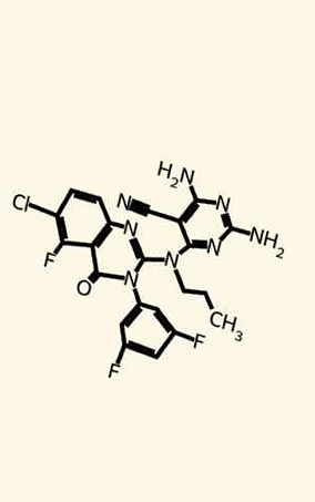 CCCN(c1nc(N)nc(N)c1C#N)c1nc2ccc(Cl)c(F)c2c(=O)n1-c1cc(F)cc(F)c1